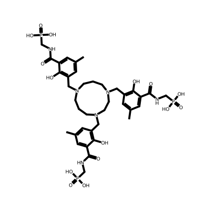 Cc1cc(CN2CCCN(Cc3cc(C)cc(C(=O)NCP(=O)(O)O)c3O)CCN(Cc3cc(C)cc(C(=O)NCP(=O)(O)O)c3O)CCC2)c(O)c(C(=O)NCP(=O)(O)O)c1